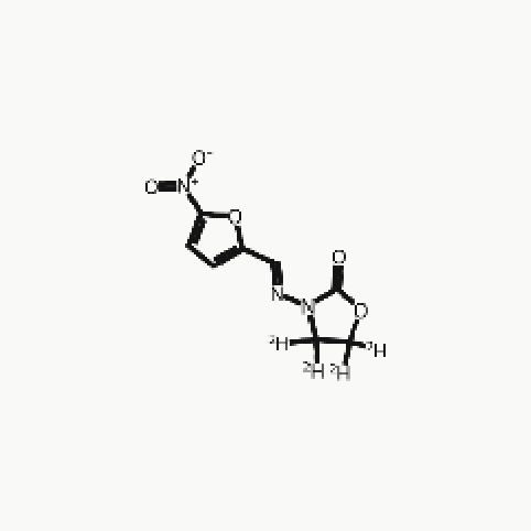 [2H]C1([2H])OC(=O)N(/N=C/c2ccc([N+](=O)[O-])o2)C1([2H])[2H]